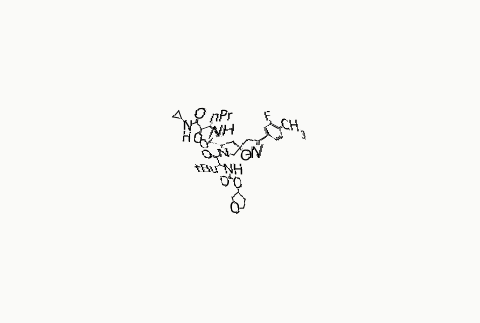 CCC[C@H](NC(=O)[C@@H]1C[C@]2(CC(c3ccc(C)c(F)c3)=NO2)CN1C(=O)[C@@H](NC(=O)O[C@H]1CCOC1)C(C)(C)C)C(=O)C(=O)NC1CC1